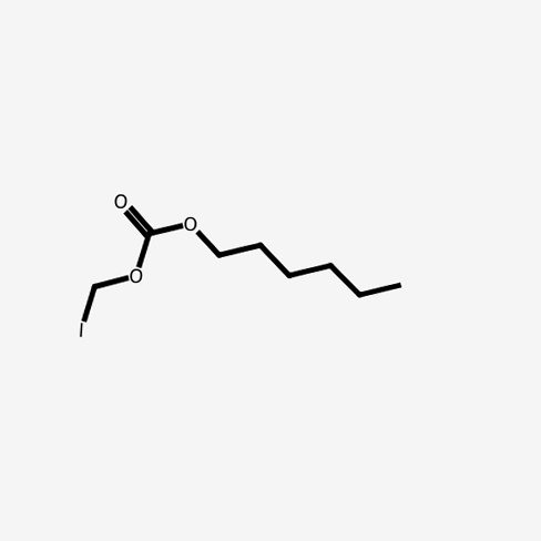 CCCCCCOC(=O)OCI